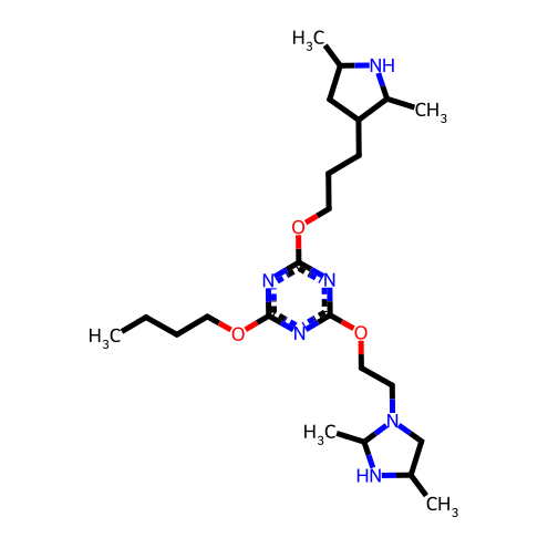 CCCCOc1nc(OCCCC2CC(C)NC2C)nc(OCCN2CC(C)NC2C)n1